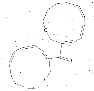 O=C(C1=CC=CC=CCCCCCC1)C1=CC=CC=CCCCCCC1